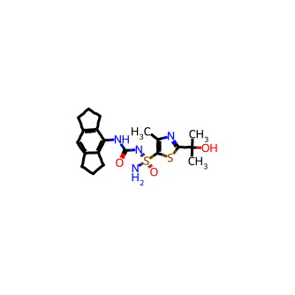 Cc1nc(C(C)(C)O)sc1S(N)(=O)=NC(=O)Nc1c2c(cc3c1CCC3)CCC2